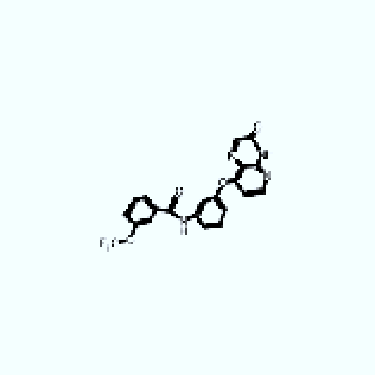 O=C(Nc1cccc(Oc2ccnc3[nH]c(=O)cnc23)c1)c1cccc(OC(F)(F)F)c1